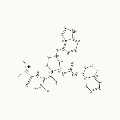 CN[C@@H](C)C(=O)N[C@H](C(=O)N1CCN(Cc2cccc3[nH]ccc23)C[C@@H]1OC(=O)NC1CCCc2ccccc21)C(C)C